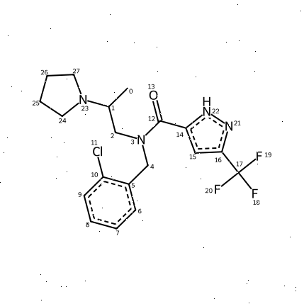 CC(CN(Cc1ccccc1Cl)C(=O)c1cc(C(F)(F)F)n[nH]1)N1CCCC1